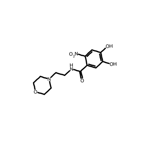 O=C(NCCN1CCOCC1)c1cc(O)c(O)cc1[N+](=O)[O-]